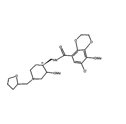 COc1c(Cl)cc(C(=O)NC[C@@H]2CCN(CC3CCCO3)CC2OC)c2c1OCCO2